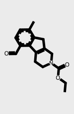 CCOC(=O)N1CCC2=C(Cc3c(C)ccc(C=O)c32)C1